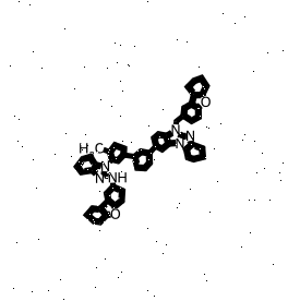 Cc1ccc(-c2cccc(-c3ccc4c(c3)n3c5ccccc5nc3n4Cc3ccc4oc5ccccc5c4c3)c2)cc1-n1c(Nc2ccc3oc4ccccc4c3c2)nc2ccccc21